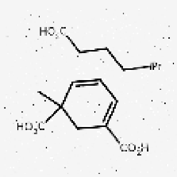 CC(C)CCCC(=O)O.CC1(C(=O)O)C=CC=C(C(=O)O)C1